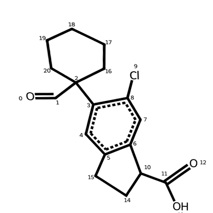 O=CC1(c2cc3c(cc2Cl)C(C(=O)O)CC3)CCCCC1